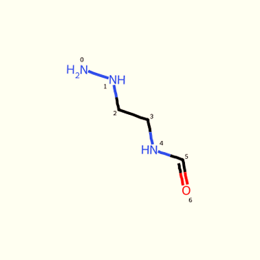 NNCCNC=O